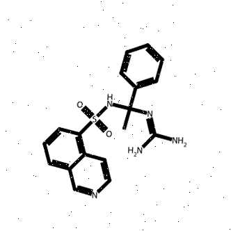 CC(N=C(N)N)(NS(=O)(=O)c1cccc2cnccc12)c1ccccc1